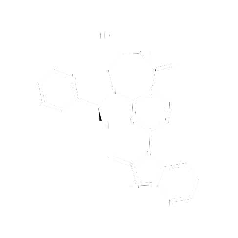 C[C@H]1CN([C@@H](C)c2ccccn2)c2nc(-n3c(=O)[nH]c4ncccc43)ccc2C(=O)N1